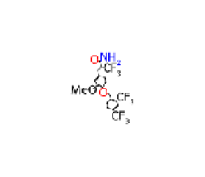 COc1cc(/C=C(/C(N)=O)C(F)(F)F)ccc1OCc1ccc(C(F)(F)F)cc1C(F)(F)F